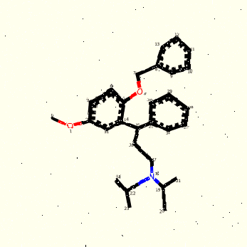 COc1ccc(OCc2ccccc2)c(C(CCN(C(C)C)C(C)C)c2ccccc2)c1